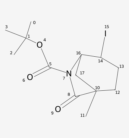 CC(C)(C)OC(=O)N1C(=O)C2(C)CCC(I)C1C2